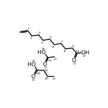 C=CCCCCCCCCC(=O)O.CC(=O)O.CCCC(=O)O